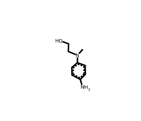 CN(CCO)c1[c]cc(N)cc1